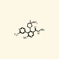 CCCCNC(=O)c1cnc(C#N)c(-c2ccnc(C(F)(F)F)c2)c1N1CC[C@](C)(N)C1